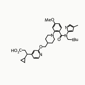 COc1ccc(C(=O)N(CC(C)(C)C)C2=CC(C)=C=N2)c(N2CCC(COc3cc(C(CC(=O)O)C4CC4)ccn3)CC2)c1